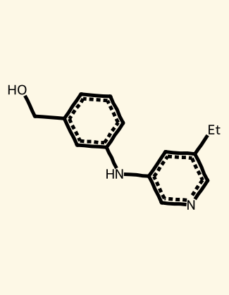 CCc1cncc(Nc2cccc(CO)c2)c1